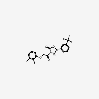 Cc1cccc(OCC(=O)N2C(=O)O[C@H](c3cccc(C(F)(F)F)c3)[C@@H]2C)c1C